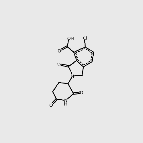 O=C1CCC(N2Cc3ccc(Cl)c(C(=O)O)c3C2=O)C(=O)N1